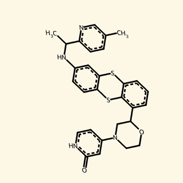 Cc1ccc(C(C)Nc2ccc3c(c2)Sc2cccc(C4CN(c5cc[nH]c(=O)c5)CCO4)c2S3)nc1